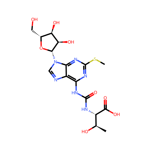 CSc1nc(NC(=O)N[C@H](C(=O)O)[C@@H](C)O)c2ncn([C@@H]3O[C@H](CO)[C@@H](O)[C@H]3O)c2n1